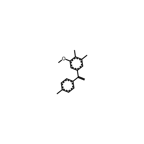 C=C(c1ccc(C)cc1)c1cc(C)c(C)c(OC)c1